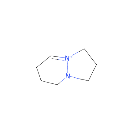 C1=[N+]2CCCN2CCC1